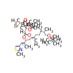 C/C(=C\CC(OC(=O)CC(O[Si](C)(C)C(C)(C)C)C(C)(C)C(=O)C(C)Br)/C(C)=C/c1csc(C)n1)CCCC(C)CO[Si](C)(C)C(C)(C)C